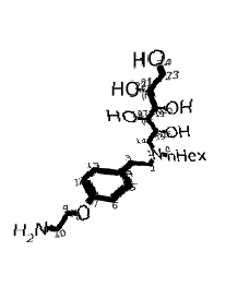 CCCCCCN(CCc1ccc(OCCN)cc1)C[C@H](O)[C@@H](O)[C@H](O)[C@H](O)CO